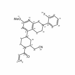 C=CC(=O)N1CCN(c2nc(OC)nc3c2CCN(c2ccccc2F)C3)CC1CC#N